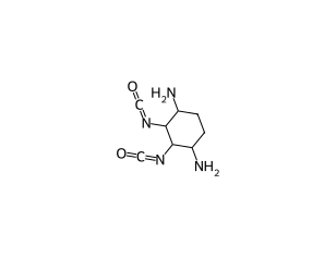 NC1CCC(N)C(N=C=O)C1N=C=O